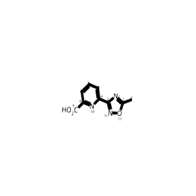 Cc1nc(-c2cccc(C(=O)O)n2)no1